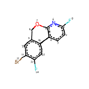 Fc1ccc2c(n1)OCc1cc(Br)c(F)cc1-2